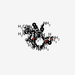 CC(=O)NCCCC[C@H](NC(=O)[C@](C)(CCCCN)NC(=O)[C@H](Cc1ccc2ccccc2c1)NC(=O)[C@H](Cc1ccc(OCCN)cc1)NC(=O)[C@H]1NC(=O)[C@H](CCCCNC(=O)CN)NC(=O)[C@H](Cc2c[nH]c3c(C)cccc23)NC(=O)[C@H]([C@@H](C)O)NC(=O)[C@H](CC(N)=O)NC(=O)[C@@H](NC(C)=O)C(C)(C)SSC1(C)C)C(=O)N[C@@H](CC(N)=O)C(=O)N[C@H](CC(C)C)C(N)=O